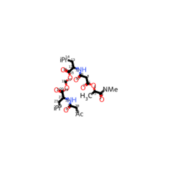 CNC(=O)C(C)OC(=O)CC(=O)NC(CC(C)C)C(=O)OCOC(=O)C(CC(C)C)NC(=O)CC(C)=O